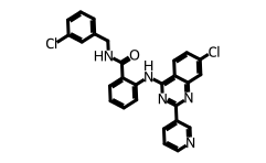 O=C(NCc1cccc(Cl)c1)c1ccccc1Nc1nc(-c2cccnc2)nc2cc(Cl)ccc12